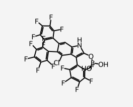 OB(O)Oc1[nH]c2cc(-c3c(F)c(F)c(F)c(F)c3F)c(-c3c(F)c(F)c(F)c(F)c3F)c(Cl)c2c1-c1c(F)c(F)c(F)c(F)c1F